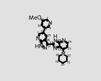 COc1cncc(-c2cnc3[nH]nc(-c4nc5c(N6CCCCC6)ccnc5[nH]4)c3c2)c1